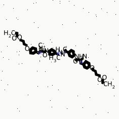 [C-]#[N+]/C(=C\c1ccc(OCCCCOC(=O)C=C)cc1)C(=O)Nc1ccc(/C(C)=N/N=C(\C)c2ccc(NC(=O)/C(C#N)=C/c3ccc(OCCCCOC(=O)C=C)cc3)cc2)cc1